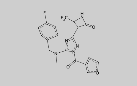 CN(Cc1ccc(F)cc1)c1nc(C2C(=O)NC2C(F)(F)F)nn1C(=O)c1ccoc1